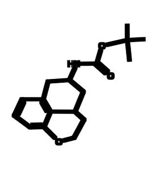 CC(C)(C)OC(=O)NC1Cc2cccc3c2C(CCO3)C1